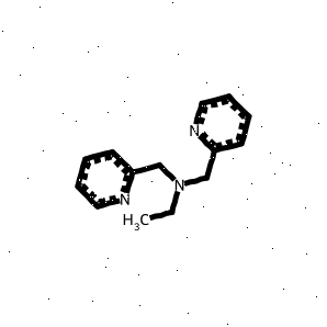 CCN(Cc1ccccn1)Cc1ccccn1